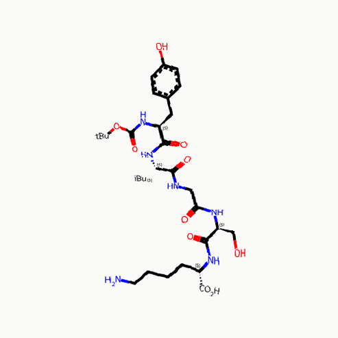 CC[C@H](C)[C@H](NC(=O)[C@H](Cc1ccc(O)cc1)NC(=O)OC(C)(C)C)C(=O)NCC(=O)N[C@@H](CO)C(=O)N[C@@H](CCCCN)C(=O)O